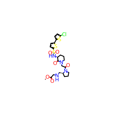 COC(=O)CNC[C@@H]1CCCN1C(=O)CN1CCC[C@H](NS(=O)(=O)c2ccc(-c3ccc(Cl)s3)s2)C1=O